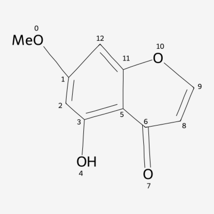 COc1cc(O)c2c(=O)ccoc2c1